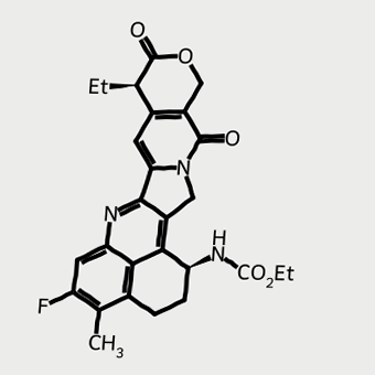 CCOC(=O)N[C@H]1CCc2c(C)c(F)cc3nc4c(c1c23)Cn1c-4cc2c(c1=O)COC(=O)[C@@H]2CC